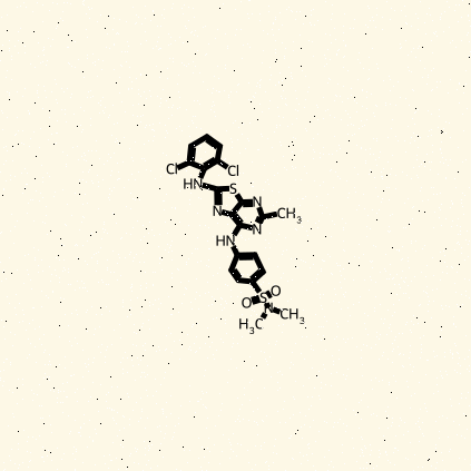 Cc1nc(Nc2ccc(S(=O)(=O)N(C)C)cc2)c2nc(Nc3c(Cl)cccc3Cl)sc2n1